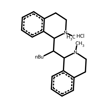 CCCCC(C1c2ccccc2CCN1C)C1c2ccccc2CCN1C.Cl